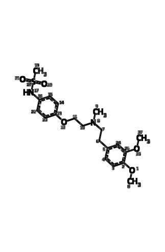 COc1ccc(CCN(C)CCOc2ccc(NS(C)(=O)=O)cc2)cc1OC